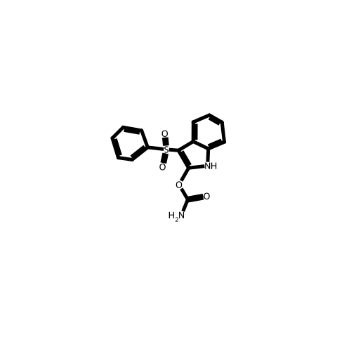 NC(=O)Oc1[nH]c2ccccc2c1S(=O)(=O)c1ccccc1